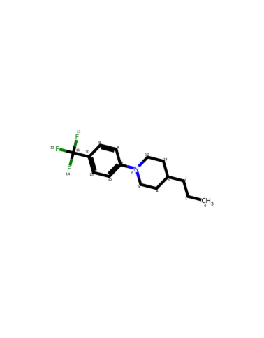 CCCC1CCN(c2ccc(C(F)(F)F)cc2)CC1